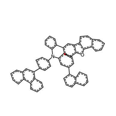 c1cc(-c2cccc3ccccc23)cc(N(c2ccc(-c3cc4ccccc4c4ccccc34)cc2)c2ccccc2-c2ccc3oc4c5ccccc5ccc4c3c2)c1